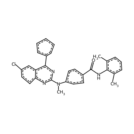 Cc1cccc(C)c1NC(=O)c1ccc(N(C)c2nc(-c3ccccc3)c3cc(Cl)ccc3n2)cc1